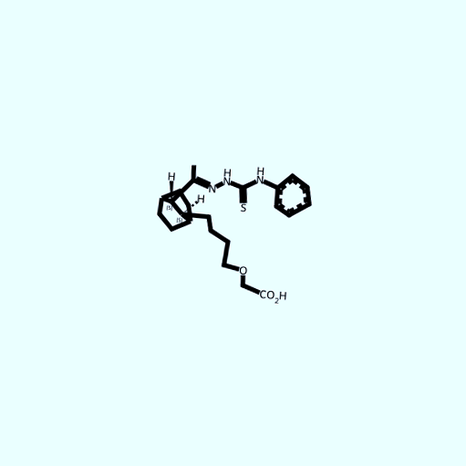 CC(=NNC(=S)Nc1ccccc1)[C@H]1C2CCC(CC2)[C@@H]1CCCCOCC(=O)O